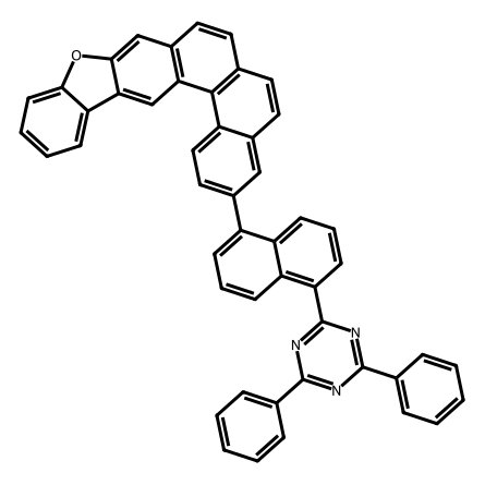 c1ccc(-c2nc(-c3ccccc3)nc(-c3cccc4c(-c5ccc6c(ccc7ccc8cc9oc%10ccccc%10c9cc8c76)c5)cccc34)n2)cc1